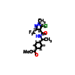 COC(=O)c1ccc(C(C)NC(=O)c2c(C(F)(F)F)nn(C)c2Cl)cc1